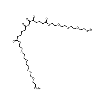 CCOCCOCCOCCOCCOC(=O)CCCC(=O)C(=O)OC(=O)CCCCC(=O)OCCOCCOCCOCCOCCOC